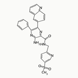 CS(=O)(=O)c1ccc(CNC(=O)c2nc(-c3ccc4ncccc4c3)c(-c3ccccc3)nc2N)nc1